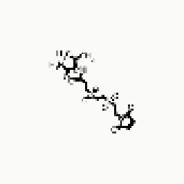 CC(C)[C@H](NC(=O)CCS(=O)(=O)CCS(=O)(=O)CCN1C(=O)C=CC1=O)C(N)=O